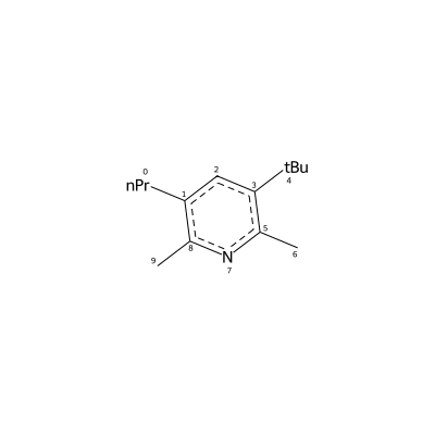 CCCc1cc(C(C)(C)C)c(C)nc1C